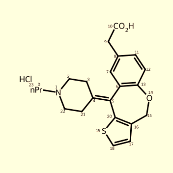 CCCN1CCC(=C2c3cc(CC(=O)O)ccc3OCc3ccsc32)CC1.Cl